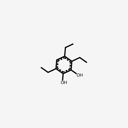 CCc1cc(CC)c(CC)c(O)c1O